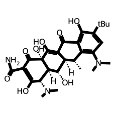 C[C@H]1c2c(N(C)C)cc(C(C)(C)C)c(O)c2C(=O)C2=C(O)[C@]3(O)C(=O)C(C(N)=O)=C(O)[C@@H](N(C)C)[C@@H]3[C@@H](O)[C@@H]21